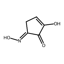 O=C1C(O)=CCC1=NO